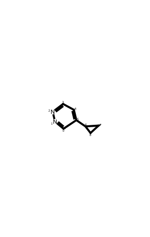 [c]1nnccc1C1CC1